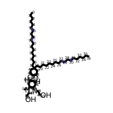 CCCCC/C=C/C/C=C/CCCCCCCCC1(CCCCCCCC/C=C/C/C=C/CCCCC)CCC2(CC1)O[C@H]1C[C@@H](N(C)CCO)[C@@H](N(C)CCO)C[C@@H]1O2